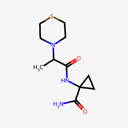 CC(C(=O)NC1(C(N)=O)CC1)N1CCSCC1